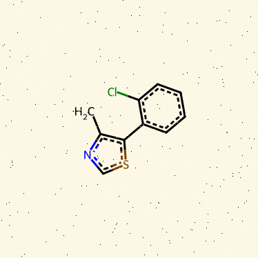 [CH2]c1ncsc1-c1ccccc1Cl